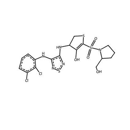 O=S(=O)(C1=C(O)C(Nc2nsnc2Nc2cccc(Cl)c2Cl)CS1)N1CCCC1CO